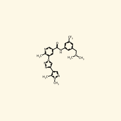 Cc1ncc(C(=O)Nc2cc(CN(C)C)cc(C(F)(F)F)c2)cc1-n1cc(-c2cnn(C)c2C)nn1